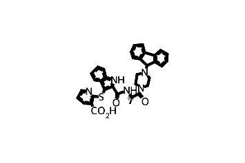 C[C@@H](NC(=O)c1[nH]c2ccccc2c1Sc1ncccc1C(=O)O)C(=O)N1CCN(C2c3ccccc3-c3ccccc32)CC1